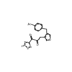 CC(=O)c1ccc(Cc2cocc2CC(=O)C(=O)c2nn[nH]n2)cc1